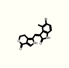 Cc1c(Br)ccc2c1C(=Cc1[nH]cc3c1CCOC3=O)C(=O)N2